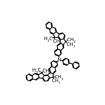 CC1(C)c2cc3cc(N(c4ccc(-c5ccccc5)cc4)c4ccc5cc6c(cc5c4)C(C)(C)c4ccc5c(c4-6)C(C)(C)c4cc6ccccc6cc4-5)ccc3cc2-c2c1ccc1c2C(C)(C)c2cc3ccccc3cc2-1